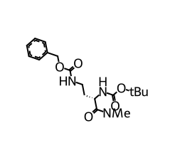 CNC(=O)[C@H](CCNC(=O)OCc1ccccc1)NC(=O)OC(C)(C)C